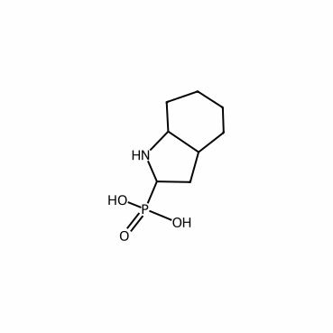 O=P(O)(O)C1CC2CCCCC2N1